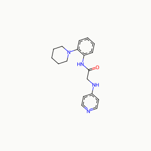 O=C(CNc1ccncc1)Nc1ccccc1N1CCCCC1